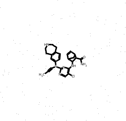 CC#CN(c1ccc2c(c1)CCNCC2)c1ncc(Cl)c(NC2C3C=CC(C3)C2C(N)=O)n1